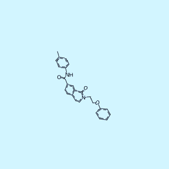 Cc1ccc(NC(=O)c2ccc3ccn(CCOc4ccccc4)c(=O)c3c2)cc1